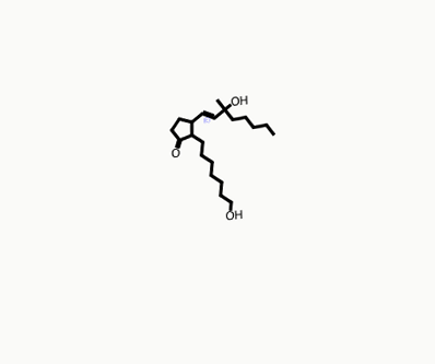 CCCCCC(C)(O)/C=C/C1CCC(=O)C1CCCCCCCO